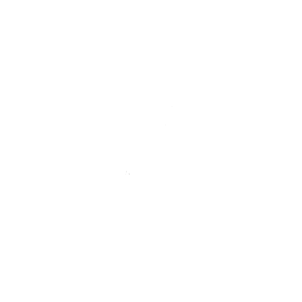 C/C=C(\CCC)CCCCN(C)CC(C)C